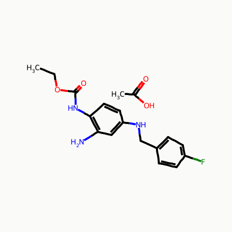 CC(=O)O.CCOC(=O)Nc1ccc(NCc2ccc(F)cc2)cc1N